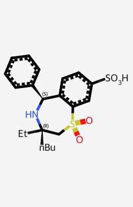 CCCC[C@]1(CC)CS(=O)(=O)c2cc(S(=O)(=O)O)ccc2[C@H](c2ccccc2)N1